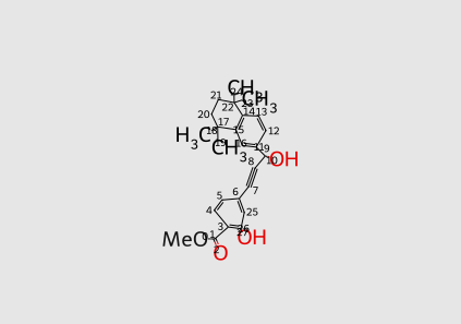 COC(=O)c1ccc(C#CC(O)c2ccc3c(c2)C(C)(C)CCC3(C)C)cc1O